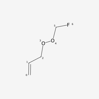 C=CCOOCF